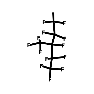 CC(F)(F)C(F)(F)C(F)(C(F)(F)F)C(F)(F)C(F)(F)F